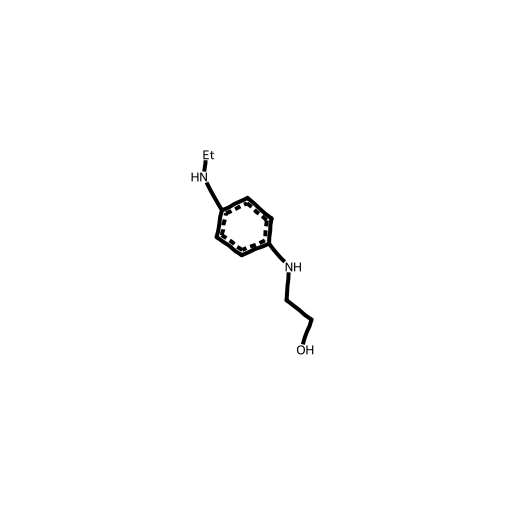 CCNc1ccc(NCCO)cc1